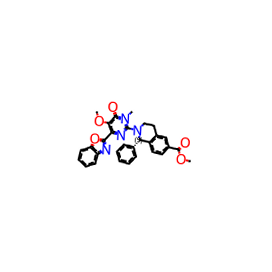 COC(=O)c1ccc2c(c1)CCN(c1nc(-c3nc4ccccc4o3)c(OC)c(=O)n1C)[C@H]2c1ccccc1